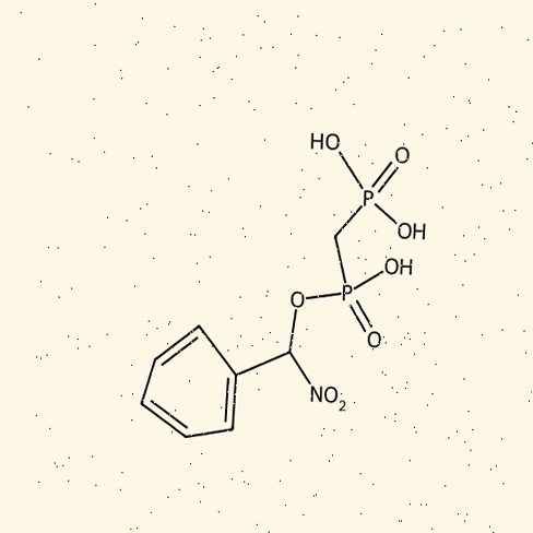 O=[N+]([O-])C(OP(=O)(O)CP(=O)(O)O)c1ccccc1